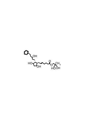 CC(CO)(CO)COC(=O)CCCC=CC[C@@H]1[C@@H](CCC(O)CCc2ccccc2)[C@H](O)C[C@@H]1O